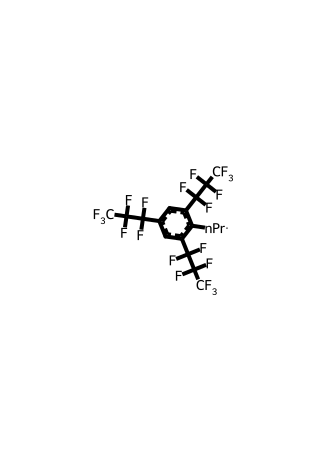 CC[CH]c1c(C(F)(F)C(F)(F)C(F)(F)F)cc(C(F)(F)C(F)(F)C(F)(F)F)cc1C(F)(F)C(F)(F)C(F)(F)F